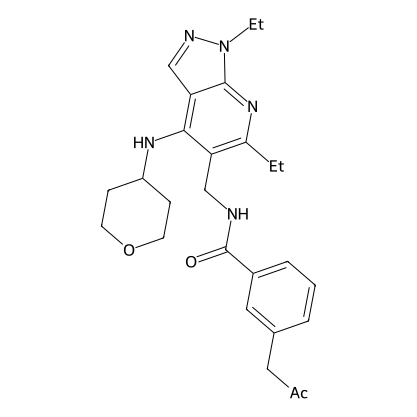 CCc1nc2c(cnn2CC)c(NC2CCOCC2)c1CNC(=O)c1cccc(CC(C)=O)c1